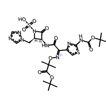 CC(C)(C)OC(=O)Nc1nc(/C(=N/OC(C)(C)C(=O)OC(C)(C)C)C(=O)N[C@@H]2C(=O)N(S(=O)(=O)O)[C@@H]2Cn2cncn2)cs1